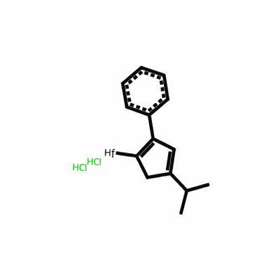 CC(C)C1=CC(c2ccccc2)=[C]([Hf])C1.Cl.Cl